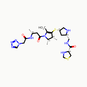 C[C@H](CC(=O)N1C(C(=O)O)=C(S[C@@H]2CN[C@H](CNC(=O)[C@@H]3CSCN3)C2)[C@H](C)[C@@H]1C)NC(=O)Cn1cnnn1